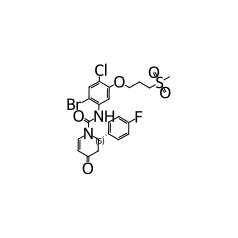 CS(=O)(=O)CCCOc1cc(NC(=O)N2C=CC(=O)C[C@H]2c2ccc(F)cc2)c(Br)cc1Cl